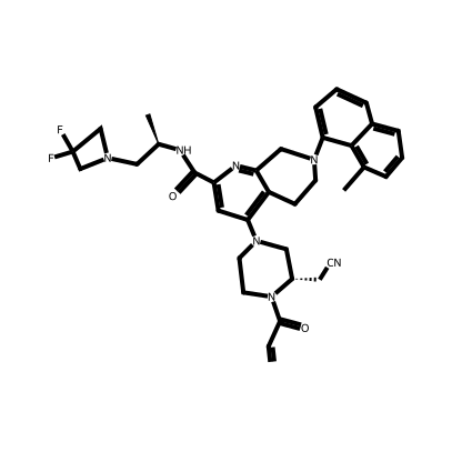 C=CC(=O)N1CCN(c2cc(C(=O)N[C@H](C)CN3CC(F)(F)C3)nc3c2CCN(c2cccc4cccc(C)c24)C3)C[C@@H]1CC#N